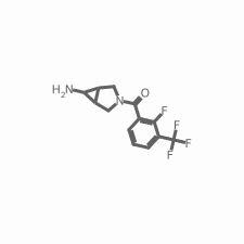 NC1C2CN(C(=O)c3cccc(C(F)(F)F)c3F)CC12